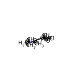 COc1cc(C2NC(=O)c3cc(Cl)ccc3N2)ccc1OCCCCCCCOc1cc(/C=C/c2cc(OC)c(OC)c(OC)c2)ccc1OC